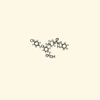 O=C(O)Cc1ccc(OCc2ccc(Cl)cc2)c(CN2CCN(C(=O)NCc3ccccc3)CC2)c1